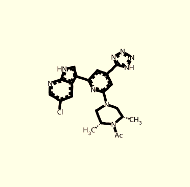 CC(=O)N1[C@H](C)CN(c2cc(-c3nnn[nH]3)cc(-c3c[nH]c4ncc(Cl)cc34)n2)C[C@@H]1C